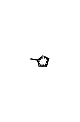 Ic1nc[c]o1